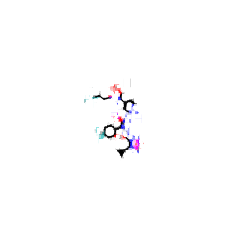 COCC(NC(=O)CCC(F)(F)F)c1ccnc(NC(=O)[C@@H](NC(=O)c2nonc2C2CC2)C2CCC(F)(F)CC2)c1